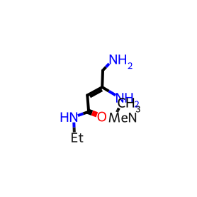 CCNC(=O)C=C(N)CN.CNC